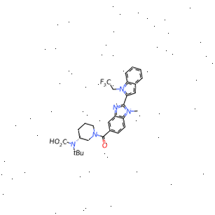 Cn1c(-c2cc3ccccc3n2CC(F)(F)F)nc2cc(C(=O)N3CCC[C@@H](N(C(=O)O)C(C)(C)C)C3)ccc21